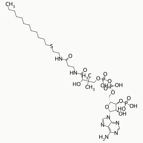 CCCCCCCCCCCCSCCNC(=O)CCNC(=O)C(O)C(C)(C)COP(=O)(O)OP(=O)(O)OC[C@H]1O[C@@H](n2cnc3c(N)ncnc32)[C@H](O)[C@@H]1OP(=O)(O)O